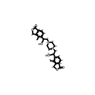 Cc1c(C(O)CN2CCN(CC(O)c3ccc4c(c3C)COC4=O)CC2)ccc2c1COC2=O